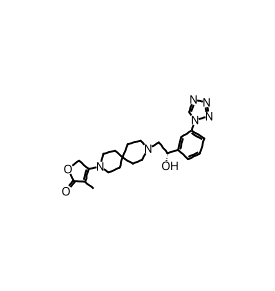 CC1=C(N2CCC3(CCN(C[C@@H](O)c4cccc(-n5cnnn5)c4)CC3)CC2)COC1=O